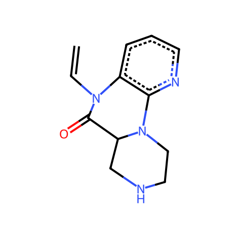 C=CN1C(=O)C2CNCCN2c2ncccc21